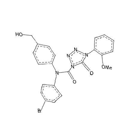 COc1ccccc1-n1nnn(C(=O)N(c2ccc(Br)cc2)c2ccc(CO)cc2)c1=O